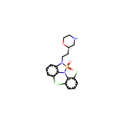 O=S1(=O)N(CC[C@@H]2CNCCO2)c2cccc(F)c2N1c1c(F)cccc1F